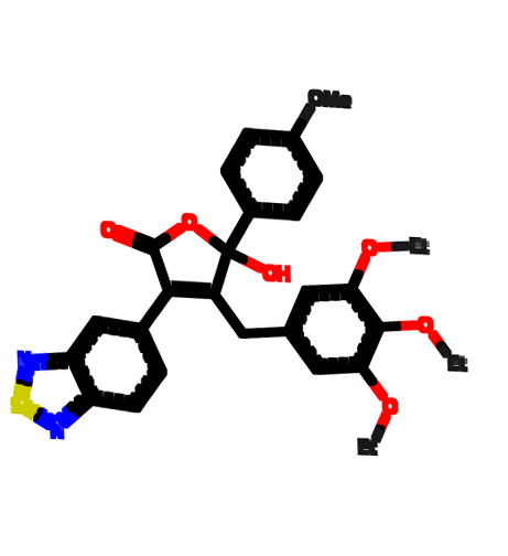 CCOc1cc(CC2=C(c3ccc4nsnc4c3)C(=O)OC2(O)c2ccc(OC)cc2)cc(OCC)c1OCC